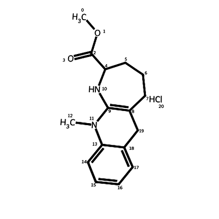 COC(=O)C1CCCC2=C(N1)N(C)c1ccccc1C2.Cl